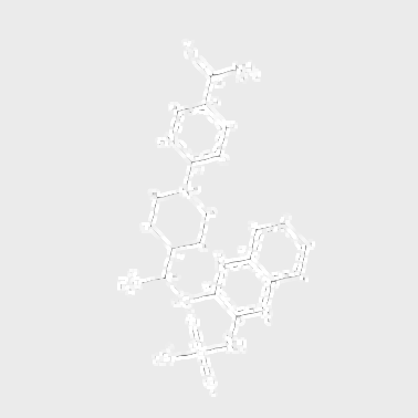 CCCS(=O)(=O)Nc1nc2ccccc2nc1OC(C1CCN(c2ccc(C(N)=O)cn2)CC1)C(F)(F)F